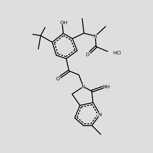 CC(=O)N(C)C(C)c1cc(C(=O)CN2Cc3ccc(C)nc3C2=N)cc(C(C)(C)C)c1O.Cl